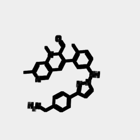 Cc1cc2c(cn1)C=C(c1cc(Nn3ccc(-c4ccc(CN)cc4)n3)ccc1C)C(C=O)N2C